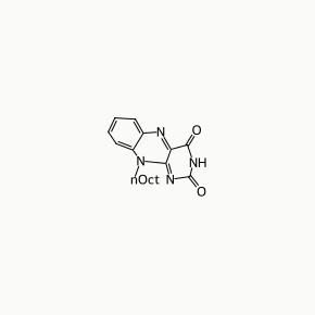 CCCCCCCCn1c2nc(=O)[nH]c(=O)c-2nc2ccccc21